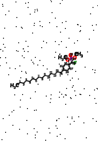 CCCCCCCCCCCCCCCc1ccc(C(F)P(=O)(OC)OC)cc1